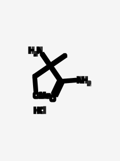 COCC(C)(N)C(N)=O.Cl